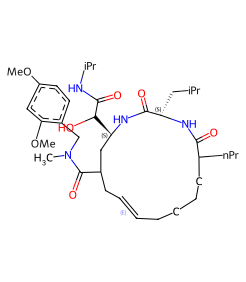 CCCC1CCCC/C=C/CC(C(=O)N(C)Cc2ccc(OC)cc2OC)C[C@@H](C(O)C(=O)NC(C)C)NC(=O)[C@H](CC(C)C)NC1=O